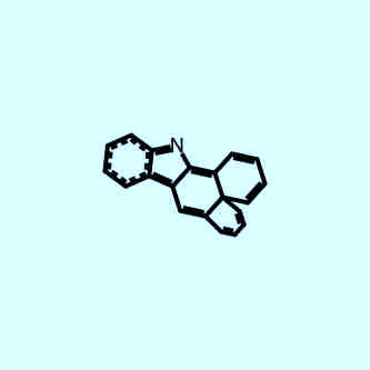 C1=CC2=CC3=c4ccccc4=NC3=C3C=CC=CC23C=C1